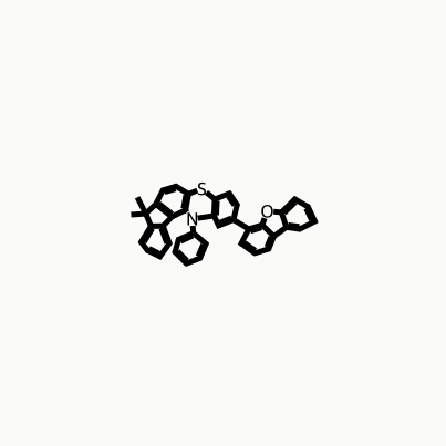 CC1(C)c2ccccc2-c2c1ccc1c2N(c2ccccc2)c2cc(-c3cccc4c3oc3ccccc34)ccc2S1